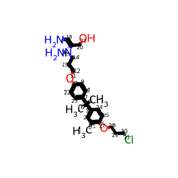 Cc1cc(C(C)(C)c2ccc(OCCCN(N)/C(=C\N)CO)cc2)ccc1OCCCCl